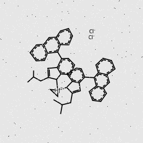 CC(C)CC1=Cc2c(-c3c4ccccc4cc4ccccc34)cccc2[CH]1[Hf+2]1([CH]2C(CC(C)C)=Cc3c(-c4c5ccccc5cc5ccccc45)cccc32)[CH2][CH2]1.[Cl-].[Cl-]